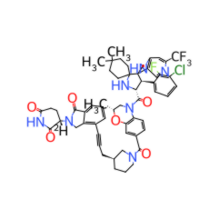 [2H][C@]1(N2Cc3c(C#CC[C@@H]4CCCN(C(=O)c5ccc6c(c5)O[C@H](C)CN6C(=O)[C@@H]5NC6(CCC(C)(C)CC6)[C@@]6(CNc7cc(C(F)(F)F)ncc76)[C@H]5c5cccc(Cl)c5F)C4)cccc3C2=O)CCC(=O)NC1=O